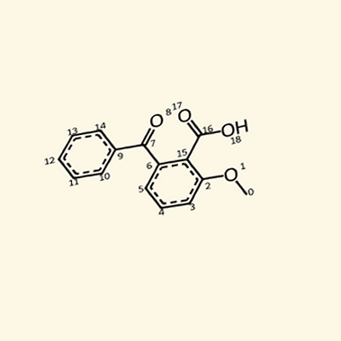 COc1cccc(C(=O)c2ccccc2)c1C(=O)O